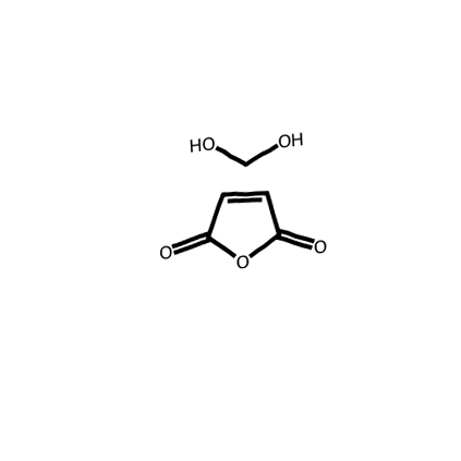 O=C1C=CC(=O)O1.OCO